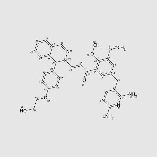 COc1cc(Cc2cnc(N)nc2N)cc(C(=O)/C=C/N2N=Cc3ccccc3C2c2ccc(OCCO)cc2)c1OC